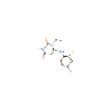 CCn1c(Nc2ccc(I)cc2F)cc(=O)n(C)c1=O